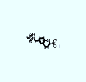 CS(=O)(=O)NCc1ccc2c(c1)CC[C@H](C(=O)O)O2